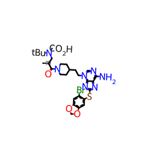 C[C@@H](CN(C(=O)O)C(C)(C)C)C(=O)N1CCC(CCn2cnc(N)c3nc(Sc4cc5c(cc4Br)OCO5)nc2-3)CC1